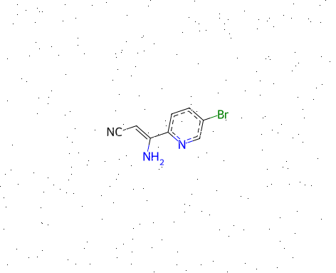 N#CC=C(N)c1ccc(Br)cn1